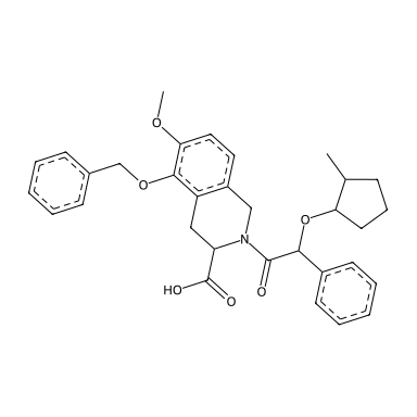 COc1ccc2c(c1OCc1ccccc1)CC(C(=O)O)N(C(=O)C(OC1CCCC1C)c1ccccc1)C2